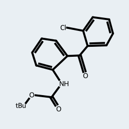 CC(C)(C)OC(=O)Nc1ccccc1C(=O)c1ccccc1Cl